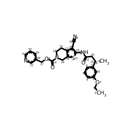 CCOc1cccc([C@@H](C)CC(=O)Nc2sc3c(c2C#N)CCN(C(=O)OCc2cccnc2)C3)c1